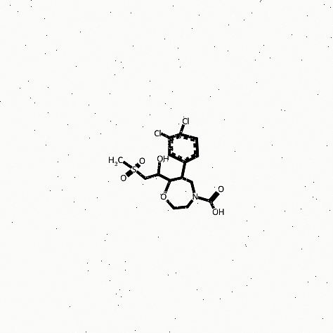 CS(=O)(=O)CC(O)C1OCCN(C(=O)O)CC1c1ccc(Cl)c(Cl)c1